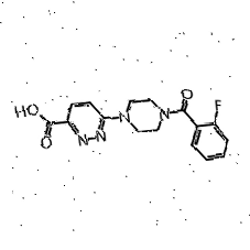 O=C(O)c1ccc(N2CCN(C(=O)c3ccccc3F)CC2)nn1